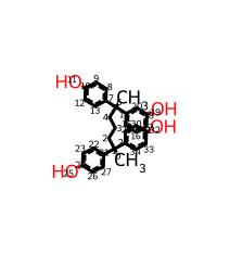 CC(CCCC(C)(c1ccc(O)cc1)c1cccc(O)c1)(c1ccc(O)cc1)c1ccc(O)cc1